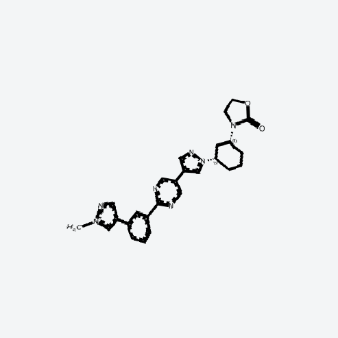 Cn1cc(-c2cccc(-c3ncc(-c4cnn([C@H]5CCC[C@@H](N6CCOC6=O)C5)c4)cn3)c2)cn1